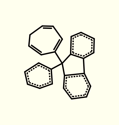 C1=CCC=CC(C2(c3ccccc3)c3ccccc3-c3ccccc32)=C1